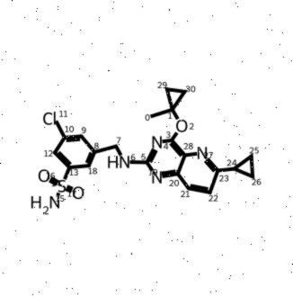 CC1(Oc2nc(NCc3cc(Cl)cc(S(N)(=O)=O)c3)nc3ccc(C4CC4)nc23)CC1